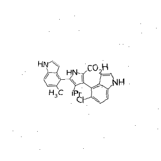 Cc1ccc2[nH]ccc2c1-c1[nH]c(C(=O)O)c(-c2c(Cl)ccc3[nH]ccc23)c1C(C)C